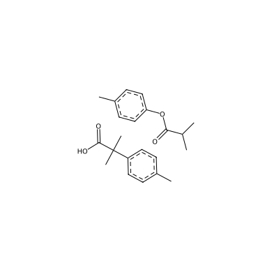 Cc1ccc(C(C)(C)C(=O)O)cc1.Cc1ccc(OC(=O)C(C)C)cc1